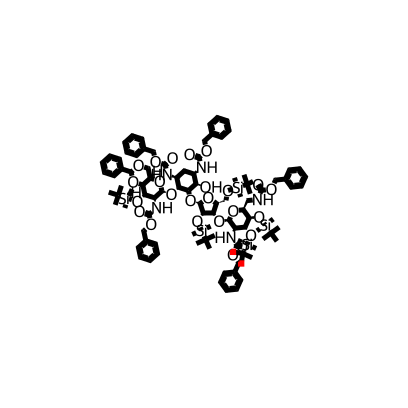 CC(C)(C)[Si](C)(C)OC[C@H]1O[C@@H](OC2[C@@H](O)[C@H](NC(=O)OCc3ccccc3)C[C@H](NC(=O)OCc3ccccc3)[C@H]2O[C@H]2O[C@@H]3COC(c4ccccc4)O[C@H]3[C@H](O[Si](C)(C)C(C)(C)C)[C@H]2NC(=O)OCc2ccccc2)[C@H](O[Si](C)(C)C(C)(C)C)[C@@H]1O[C@H]1O[C@@H](CNC(=O)OCc2ccccc2)[C@@H](O[Si](C)(C)C(C)(C)C)[C@H](O[Si](C)(C)C(C)(C)C)[C@H]1NC(=O)OCc1ccccc1